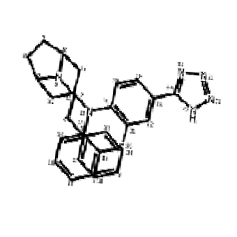 c1ccc(CCN2C3CCC2CC(N2c4ccccc4Sc4cc(-c5nnn[nH]5)ccc42)C3)cc1